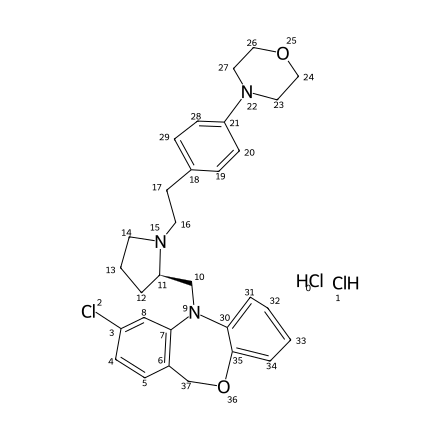 Cl.Cl.Clc1ccc2c(c1)N(C[C@H]1CCCN1CCc1ccc(N3CCOCC3)cc1)c1ccccc1OC2